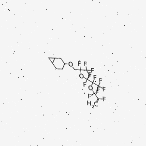 C=C(F)C(F)(F)OC(F)(C(F)(F)F)C(F)(F)OC(F)(COC1CCC2CC2C1)C(F)(F)F